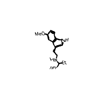 CCCC(CC)NCCc1c[nH]c2ccc(OC)cc12